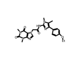 CCOc1ccc(-c2nc(NC(=O)Cn3cnc4c3c(=O)n(C)c(=O)n4C)n(C)c2C)cc1